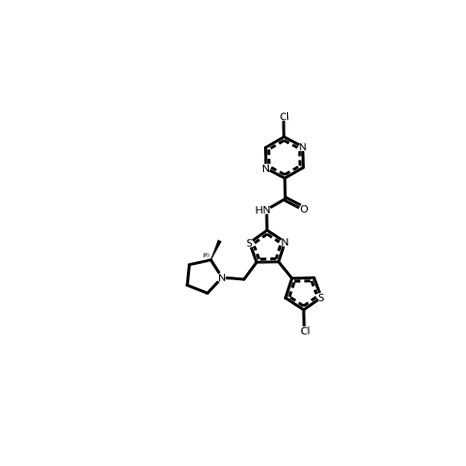 C[C@@H]1CCCN1Cc1sc(NC(=O)c2cnc(Cl)cn2)nc1-c1csc(Cl)c1